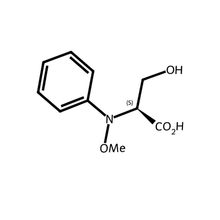 CON(c1ccccc1)[C@@H](CO)C(=O)O